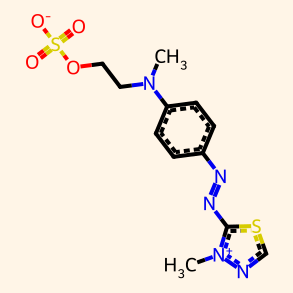 CN(CCOS(=O)(=O)[O-])c1ccc(N=Nc2scn[n+]2C)cc1